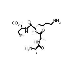 CC(C)C[C@H](NC(=O)[C@H](CCCCN)NC(=O)[C@H](C)NC(=O)[C@H](C)N)C(=O)O